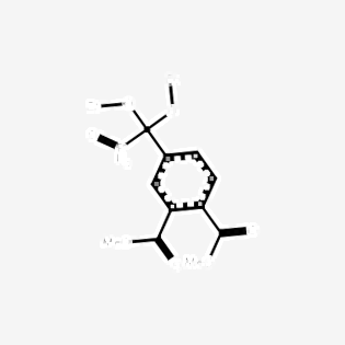 CCOC(OCC)([PH2]=O)c1ccc(C(=O)OC)c(C(=O)OC)c1